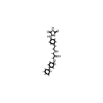 O=C1NC(=O)C(Nc2ccc(CCNCC(O)COc3ccc(-c4ccccc4)cc3)cc2)S1